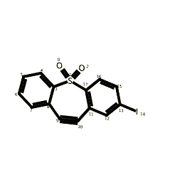 O=S1(=O)c2ccccc2C#Cc2cc(I)ccc21